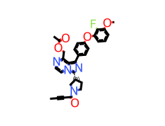 CC#CC(=O)N1CC[C@@H](c2nc(-c3ccc(Oc4cccc(OC)c4F)cc3)c3c(COC(C)=O)nccn23)C1